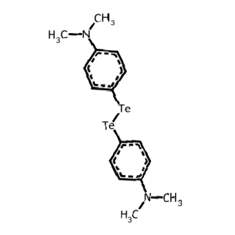 CN(C)c1ccc([Te][Te]c2ccc(N(C)C)cc2)cc1